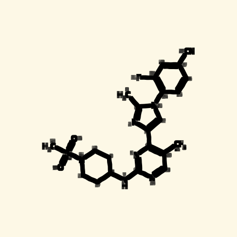 Cc1nc(-c2nc(NC3CCN(S(C)(=O)=O)CC3)ncc2C(F)(F)F)cn1-c1ccc(C#N)cc1F